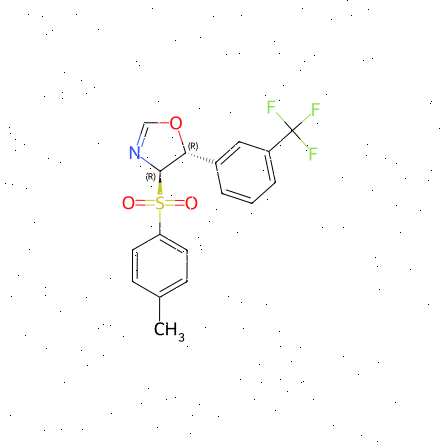 Cc1ccc(S(=O)(=O)[C@H]2N=CO[C@@H]2c2cccc(C(F)(F)F)c2)cc1